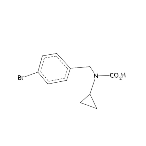 O=C(O)N(Cc1ccc(Br)cc1)C1CC1